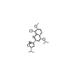 COc1ccc2c(OC(C)C)cc(-c3cc(C(C)C)on3)nc2c1Cl